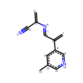 C=C(C#N)/N=C/C(=C)c1cncc(C)c1